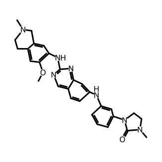 COc1cc2c(cc1Nc1ncc3ccc(Nc4cccc(N5CCN(C)C5=O)c4)cc3n1)CN(C)CC2